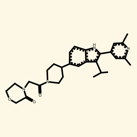 Cc1cc(-c2[nH]c3ccc(C4CCN(C(=O)CN5CCOCC5=O)CC4)cc3c2C(C)C)cc(C)n1